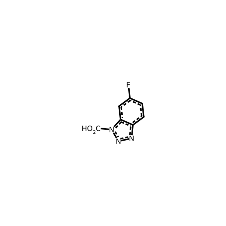 O=C(O)n1nnc2ccc(F)cc21